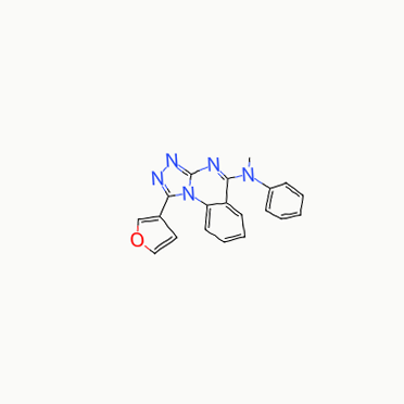 CN(c1ccccc1)c1nc2nnc(-c3ccoc3)n2c2ccccc12